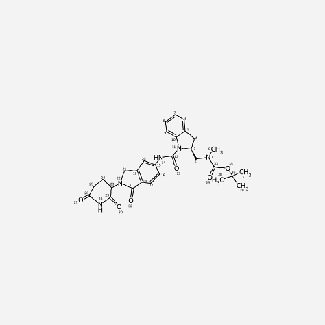 CN(C[C@@H]1Cc2ccccc2N1C(=O)Nc1ccc2c(c1)CN(C1CCC(=O)NC1=O)C2=O)C(=O)OC(C)(C)C